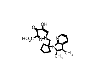 CC1c2cccnc2N(C2(Cn3cc(O)c(=O)c(C(=O)O)n3)CCCC2)[C@@H]1C